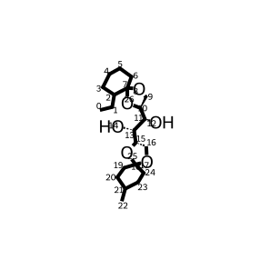 CCC1CCCCC12OC[C@@H]([C@H](O)[C@@H](O)[C@@H]1COC3(CCC(C)CC3)O1)O2